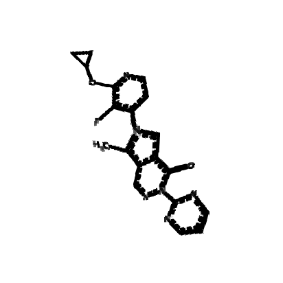 Cc1c2cnn(-c3ncccn3)c(=O)c2cn1-c1ccnc(OC2CC2)c1F